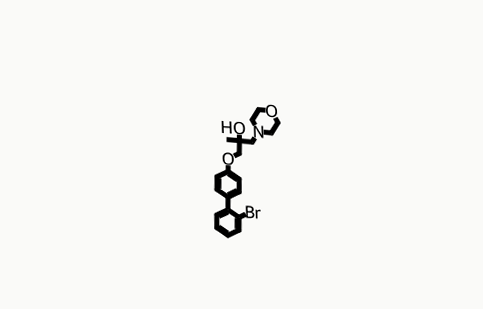 CC(O)(COc1ccc(-c2ccccc2Br)cc1)CN1CCOCC1